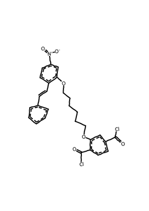 O=C(Cl)c1ccc(C(=O)Cl)c(OCCCCCCOc2cc([N+](=O)[O-])ccc2C=Cc2ccccc2)c1